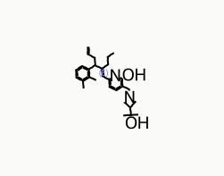 C=CCC(/C(=C/c1ccc(CN2CC(C(C)(C)O)C2)c(O)n1)CCC)c1cccc(C)c1C